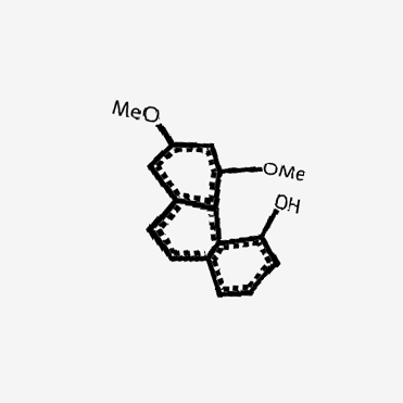 COc1cc(OC)c2c(ccc3cccc(O)c32)c1